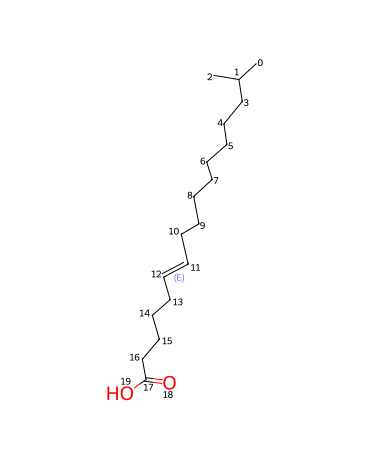 CC(C)CCCCCCCC/C=C/CCCCC(=O)O